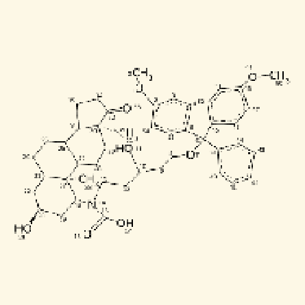 COc1ccc(C(OCCC(O)CCN(C(=O)O)C2C[C@@H](O)CC3CCC4C(CC[C@]5(C)C(=O)CCC45)[C@]32C)(c2ccccc2)c2ccc(OC)cc2)cc1